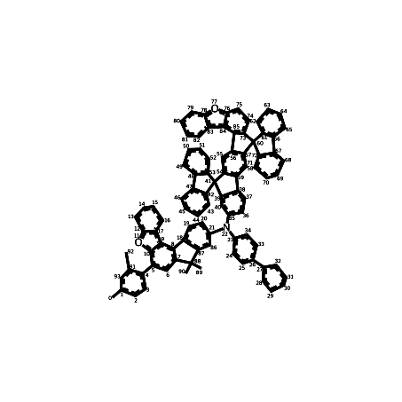 Cc1ccc(-c2cc3c(c4c2oc2ccccc24)-c2ccc(N(c4ccc(-c5ccccc5)cc4)c4ccc5c(c4)C4(c6ccccc6-c6ccccc64)c4cc6c(cc4-5)C4(c5ccccc5-c5ccccc54)c4ccc5oc7ccccc7c5c4-6)cc2C3(C)C)c(C)c1